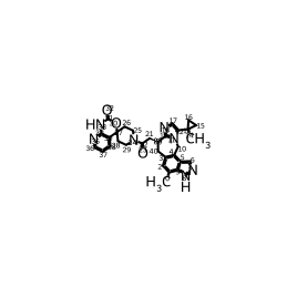 Cc1cc2c(c3cn[nH]c13)Cn1c(C3(C)CC3)cnc1[C@H](CC(=O)N1CCC3(CC1)OC(=O)Nc1ncccc13)C2